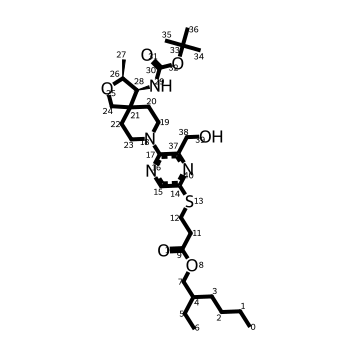 CCCCC(CC)COC(=O)CCSc1cnc(N2CCC3(CC2)CO[C@@H](C)[C@H]3NC(=O)OC(C)(C)C)c(CO)n1